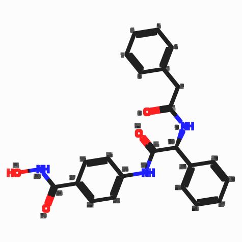 O=C(Cc1ccccc1)N[C@H](C(=O)Nc1ccc(C(=O)NO)cc1)c1ccccc1